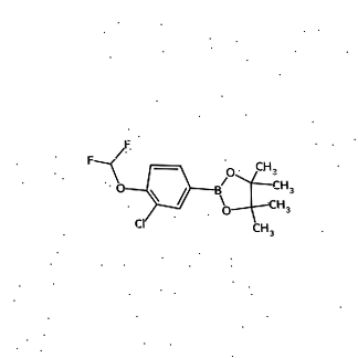 CC1(C)OB(c2ccc(OC(F)F)c(Cl)c2)OC1(C)C